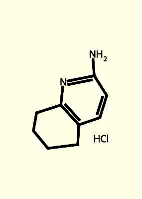 Cl.Nc1ccc2c(n1)CCCC2